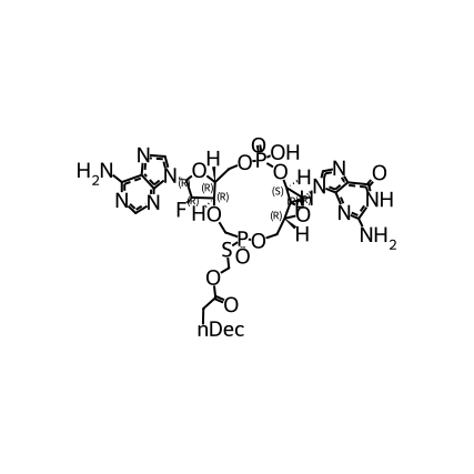 CCCCCCCCCCCC(=O)OCSP1(=O)CO[C@H]2[C@@H](F)[C@H](n3cnc4c(N)ncnc43)O[C@@H]2COP(=O)(O)O[C@@H]2[C@H](F)[C@@H](CO1)O[C@H]2n1cnc2c(=O)[nH]c(N)nc21